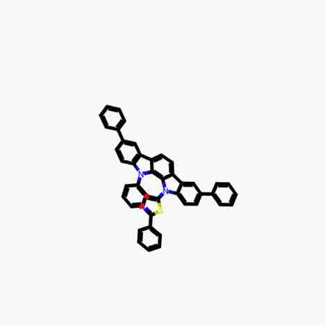 c1ccc(-c2ccc3c(c2)c2ccc4c5cc(-c6ccccc6)ccc5n(-c5cnc(-c6ccccc6)s5)c4c2n3-c2ccccc2)cc1